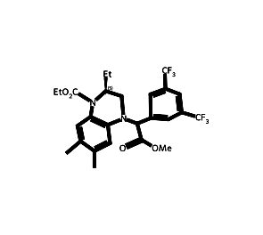 CCOC(=O)N1c2cc(C)c(C)cc2N(C(C(=O)OC)c2cc(C(F)(F)F)cc(C(F)(F)F)c2)C[C@@H]1CC